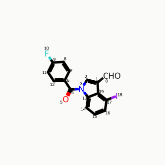 O=Cc1cn(C(=O)c2ccc(F)cc2)c2cccc(I)c12